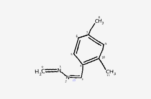 C=N/N=C\c1ccc(C)cc1C